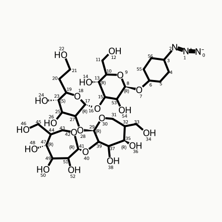 [N-]=[N+]=NC1CCC(O[C@@H]2OC(CO)[C@@H](O)C(O[C@H]3OC(CCO)[C@@H](O)C(O)C3O[C@H]3OCC(CO)[C@@H](O)C(O)C3O[C@H]3OCC(CO)[C@@H](O)C(O)C3O)C2O)CC1